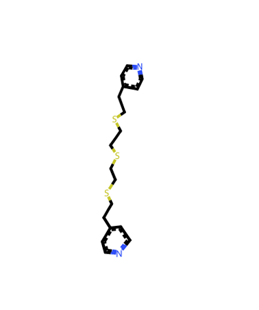 c1cc(CCSCCSCCSCCc2ccncc2)ccn1